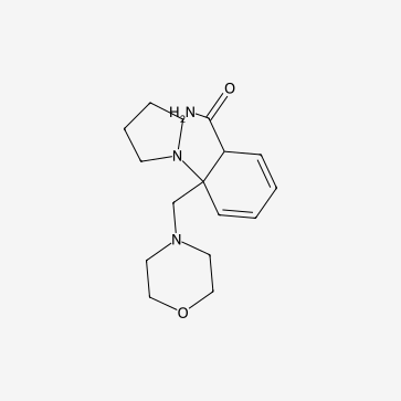 NC(=O)C1C=CC=CC1(CN1CCOCC1)N1CCCC1